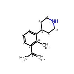 C=C(C)c1cccc(C2CCNCC2)c1C